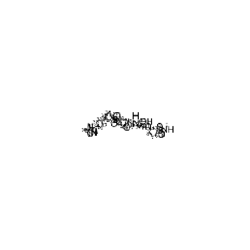 CNS(=O)(=O)c1cccc(OCC(O)CNC2COC3(CCN(S(=O)(=O)c4cccc(-c5ccc(-c6noc(C)n6)cc5)c4)CC3)C2)c1